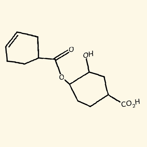 O=C(O)C1CCC(OC(=O)C2CC=CCC2)C(O)C1